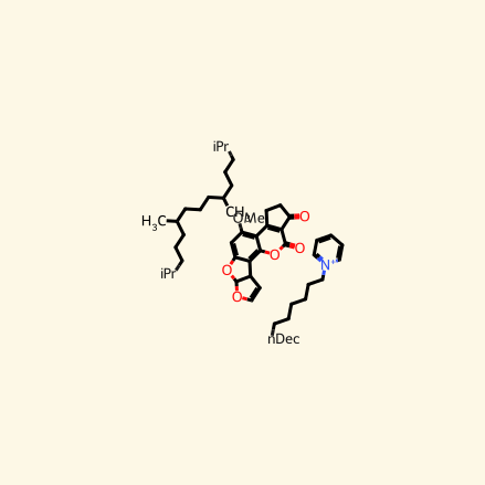 CC(C)CCCC(C)CCCC(C)CCCC(C)C.CCCCCCCCCCCCCCCC[n+]1ccccc1.COc1cc2c(c3oc(=O)c4c(c13)CCC4=O)C1C=COC1O2